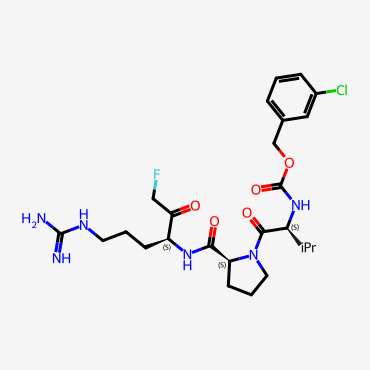 CC(C)[C@H](NC(=O)OCc1cccc(Cl)c1)C(=O)N1CCC[C@H]1C(=O)N[C@@H](CCCNC(=N)N)C(=O)CF